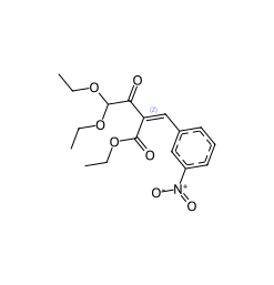 CCOC(=O)/C(=C\c1cccc([N+](=O)[O-])c1)C(=O)C(OCC)OCC